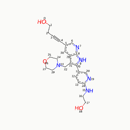 OCCC#Cc1cnc2[nH]c(-c3ccc(NCCO)nc3)c(CN3CCOCC3)c2c1